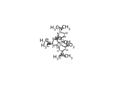 CN(C)c1ccc(C(O)(c2ccc(N(C)C)cc2[N+](=O)[O-])c2ccc(N(C)C)cc2[N+](=O)[O-])cc1